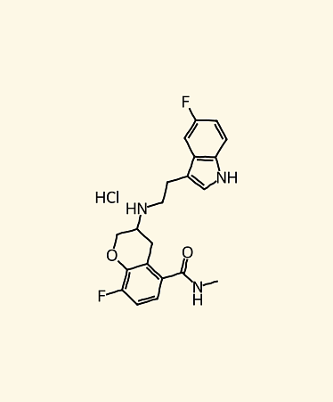 CNC(=O)c1ccc(F)c2c1CC(NCCc1c[nH]c3ccc(F)cc13)CO2.Cl